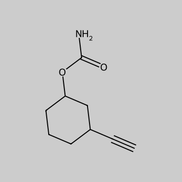 C#CC1CCCC(OC(N)=O)C1